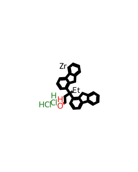 CCC(CCO)(c1cccc2c1Cc1ccccc1-2)c1cccc2c1Cc1ccccc1-2.Cl.Cl.[Zr]